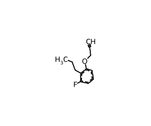 C#CCOc1cccc(F)c1CCC